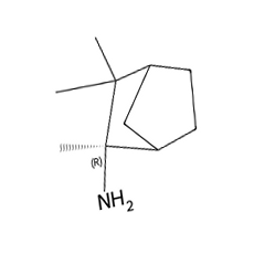 CC1(C)C2CCC(C2)[C@@]1(C)N